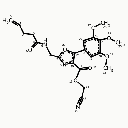 C=CCCC(=O)NCc1nc(C(=O)OCC#N)c(-c2cc(OC)c(OC)c(OC)c2)o1